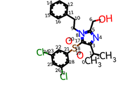 CC(C)c1nc(CO)n(CCc2ccccc2)c1S(=O)(=O)c1cc(Cl)cc(Cl)c1